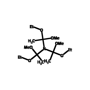 CCOC(C)(OC)N(C(C)(OC)OCC)C(C)(OC)OCC